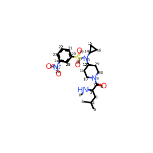 CNC(CC(C)C)C(=O)N1CCC(N(C2CC2)S(=O)(=O)c2cccc([N+](=O)[O-])c2)CC1